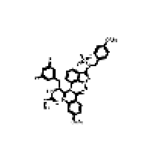 COc1ccc(CN(c2nn(C)c3c(-n4c([C@H](Cc5cc(F)cc(F)c5)NC(=O)OC(C)(C)C)nc5cc(OC)ccc5c4=O)cccc23)S(C)(=O)=O)cc1